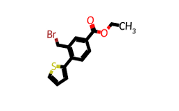 CCOC(=O)c1ccc(-c2cccs2)c(CBr)c1